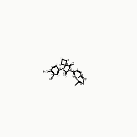 Cc1nnc2ccc(N3C(=O)C4(CCC4)N(c4ccc(O)c(F)c4)C3=S)nn12